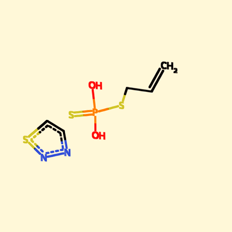 C=CCSP(O)(O)=S.c1csnn1